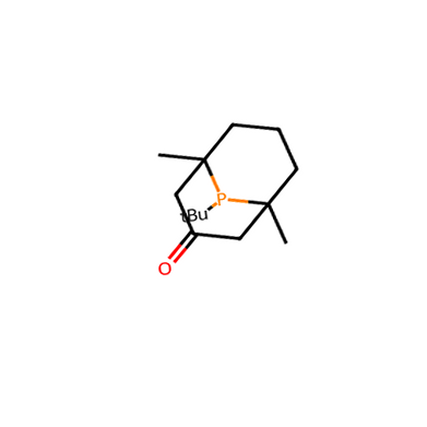 CC(C)(C)P1C2(C)CCCC1(C)CC(=O)C2